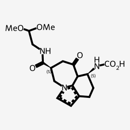 COC(CNC(=O)[C@H]1CC(=O)C2c3c(ccn3C1)CC[C@@H]2NC(=O)O)OC